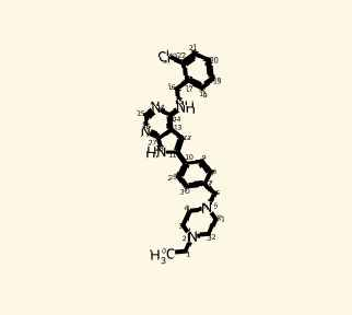 CCN1CCN(Cc2ccc(-c3cc4c(NCc5ccccc5Cl)ncnc4[nH]3)cc2)CC1